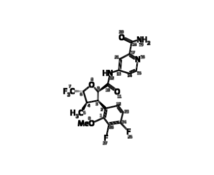 COc1c([C@H]2[C@@H](C)[C@H](C(F)(F)F)O[C@H]2C(=O)Nc2ccnc(C(N)=O)c2)ccc(F)c1F